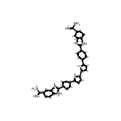 N=C(N)c1ccc2[nH]c(-c3ccc(-c4ccc(-c5ccc(-c6ccc(-c7nc8cc(C(=N)N)ccc8[nH]7)cc6)s5)s4)cc3)nc2c1